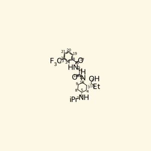 CCC(O)[C@@H]1C[C@H](NC(C)C)CC[C@@H]1NC(=O)CNC(=O)c1cccc(C(F)(F)F)c1